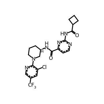 O=C(N[C@@H]1CCCN(c2ncc(C(F)(F)F)cc2Cl)C1)c1ccnc(NC(=O)C2CCC2)n1